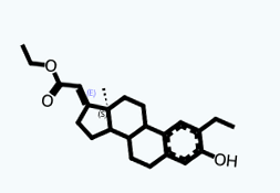 CCOC(=O)/C=C1\CCC2C3CCc4cc(O)c(CC)cc4C3CC[C@]12C